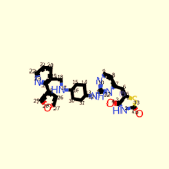 O=C1NC(=O)/C(=C\c2ccnc(NC3CCC(NCc4cccnc4-c4ccoc4)CC3)n2)S1